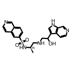 C[C@H](CNCC(O)c1c[nH]c2cnccc12)NS(=O)(=O)c1ccc2cnccc2c1